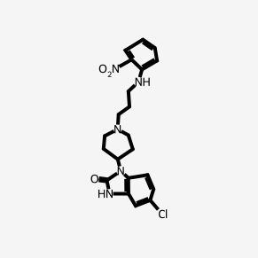 O=c1[nH]c2cc(Cl)ccc2n1C1CCN(CCCNc2ccccc2[N+](=O)[O-])CC1